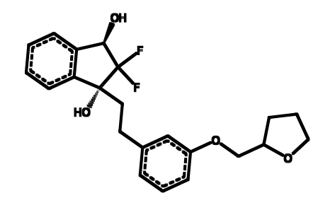 O[C@@H]1c2ccccc2[C@](O)(CCc2cccc(OCC3CCCO3)c2)C1(F)F